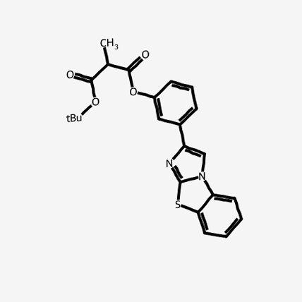 CC(C(=O)Oc1cccc(-c2cn3c(n2)sc2ccccc23)c1)C(=O)OC(C)(C)C